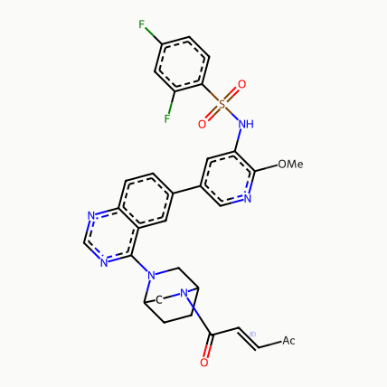 COc1ncc(-c2ccc3ncnc(N4CC5CCC4CN5C(=O)/C=C/C(C)=O)c3c2)cc1NS(=O)(=O)c1ccc(F)cc1F